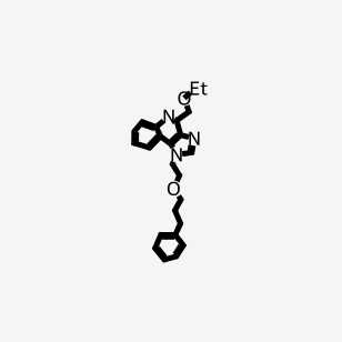 CCOCc1nc2ccccc2c2c1ncn2CCOCCCc1ccccc1